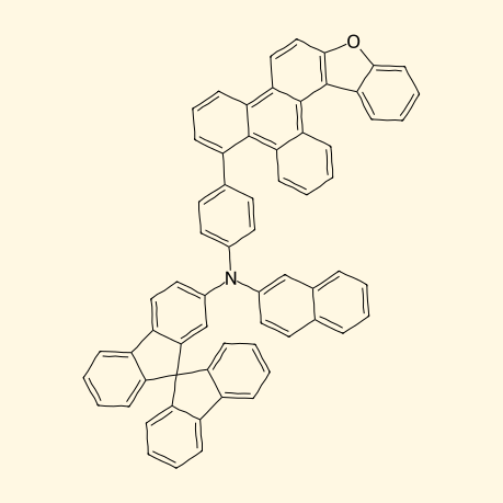 c1ccc2c(c1)-c1ccccc1C21c2ccccc2-c2ccc(N(c3ccc(-c4cccc5c6ccc7oc8ccccc8c7c6c6ccccc6c45)cc3)c3ccc4ccccc4c3)cc21